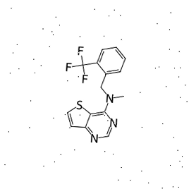 CN(Cc1ccccc1C(F)(F)F)c1ncnc2ccsc12